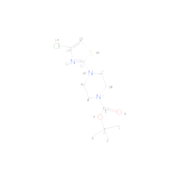 CC(C)(C)OC(=O)N1CCN(c2nc(Cl)cs2)CC1